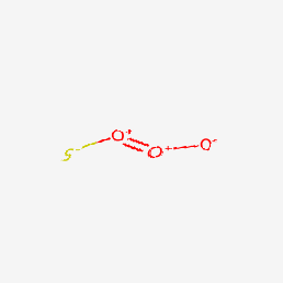 [O-][O+]=[O+][S-]